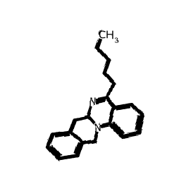 CCCCCC1=NC2Cc3ccccc3CN2c2ccccc21